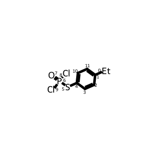 CCc1ccc(SP(=O)(Cl)Cl)cc1